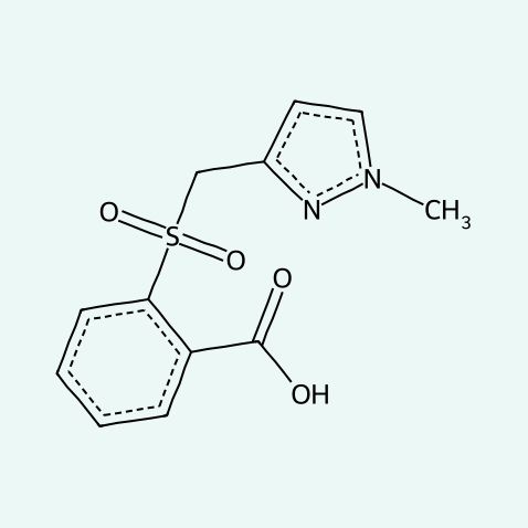 Cn1ccc(CS(=O)(=O)c2ccccc2C(=O)O)n1